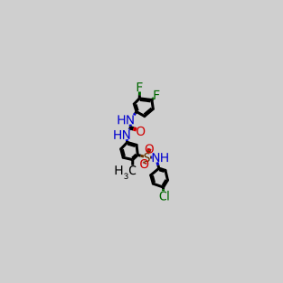 Cc1ccc(NC(=O)Nc2ccc(F)c(F)c2)cc1S(=O)(=O)Nc1ccc(Cl)cc1